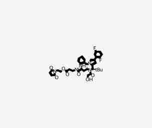 CC(C)(C)[C@H](c1cc(-c2cc(F)ccc2F)cn1Cc1ccccc1)N(CC[C@H](N)C(=O)NCCC(=O)OCCN1C(=O)C=CC1=O)C(=O)CO